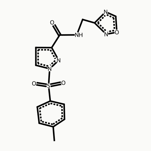 Cc1ccc(S(=O)(=O)n2ccc(C(=O)NCc3ncon3)n2)cc1